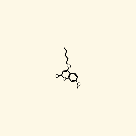 CCCCCOc1cc(=O)oc2cc(OC)ccc12